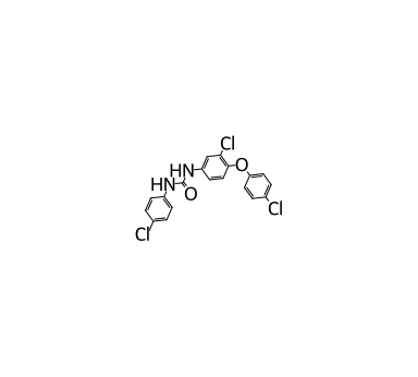 O=C(Nc1ccc(Cl)cc1)Nc1ccc(Oc2ccc(Cl)cc2)c(Cl)c1